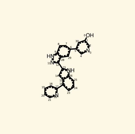 Oc1cncc(-c2ccc3[nH]nc(-c4cc5c(-c6ccccn6)cccc5[nH]4)c3c2)c1